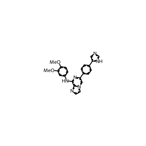 COc1ccc(Nc2nc(-c3ccc(-c4cnc[nH]4)cc3)cn3ccnc23)cc1OC